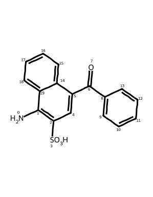 Nc1c(S(=O)(=O)O)cc(C(=O)c2ccccc2)c2ccccc12